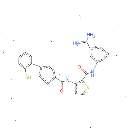 N=C(N)c1cccc(NC(=O)c2sccc2NC(=O)c2ccc(-c3ccccc3S)cc2)c1